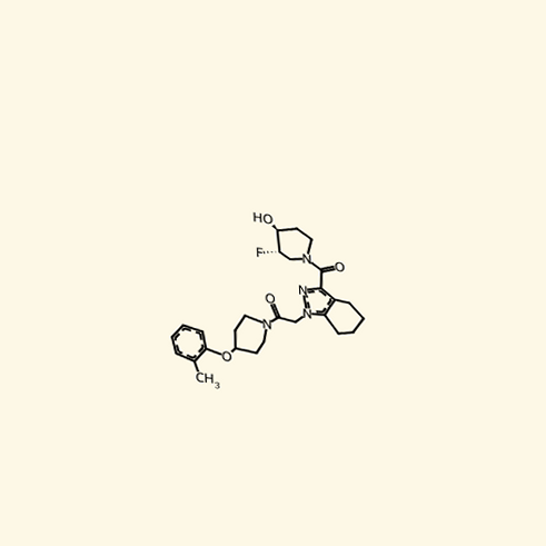 Cc1ccccc1OC1CCN(C(=O)Cn2nc(C(=O)N3CC[C@H](O)[C@@H](F)C3)c3c2CCCC3)CC1